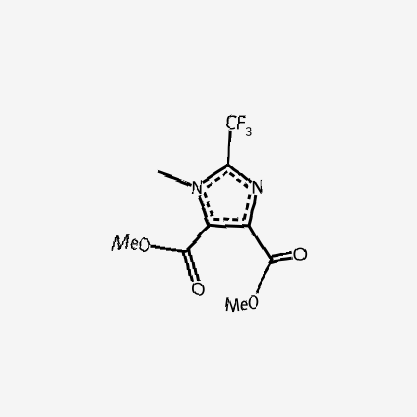 COC(=O)c1nc(C(F)(F)F)n(C)c1C(=O)OC